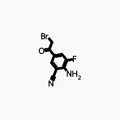 N#Cc1cc(C(=O)CBr)cc(F)c1N